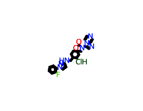 Cl.O=C1OC2(CCC(CNc3ccn(-c4ccccc4F)n3)CC2)CN1c1cnc2cnccn12